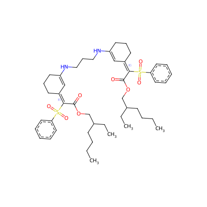 CCCCC(CC)COC(=O)/C(=C1\C=C(NCCCNC2=C/C(=C(\C(=O)OCC(CC)CCCC)S(=O)(=O)c3ccccc3)CCC2)CCC1)S(=O)(=O)c1ccccc1